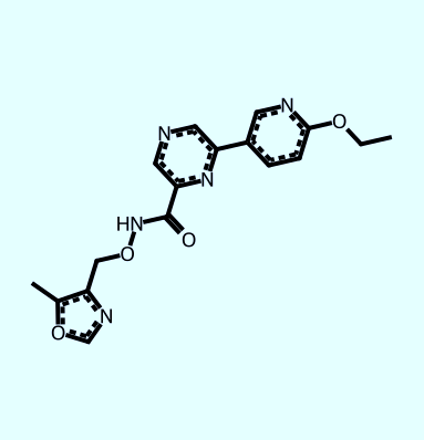 CCOc1ccc(-c2cncc(C(=O)NOCc3ncoc3C)n2)cn1